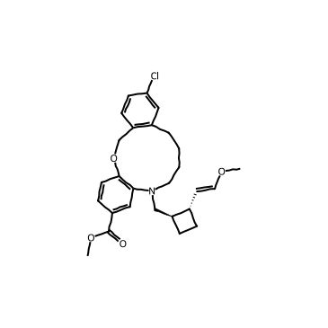 CO/C=C/[C@@H]1CC[C@H]1CN1CCCCc2cc(Cl)ccc2COc2ccc(C(=O)OC)cc21